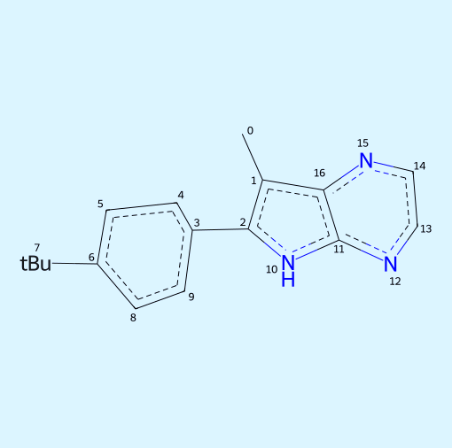 Cc1c(-c2ccc(C(C)(C)C)cc2)[nH]c2nccnc12